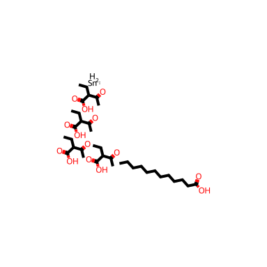 CCC(C(C)=O)C(=O)O.CCC(C(C)=O)C(=O)O.CCC(C(C)=O)C(=O)O.CCC(C(C)=O)C(=O)O.CCCCCCCCCCCC(=O)O.[SnH2]